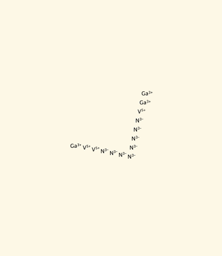 [Ga+3].[Ga+3].[Ga+3].[N-3].[N-3].[N-3].[N-3].[N-3].[N-3].[N-3].[N-3].[V+5].[V+5].[V+5]